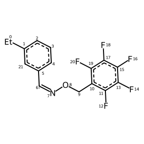 CCc1cccc(/[C]=N\OCc2c(F)c(F)c(F)c(F)c2F)c1